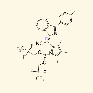 Cc1ccc(C2=N/C(=C(/C#N)c3c(C)c(C)c(C)n3B(OCC(F)(F)C(F)(F)F)OCC(F)(F)C(F)(F)F)c3ccccc32)cc1